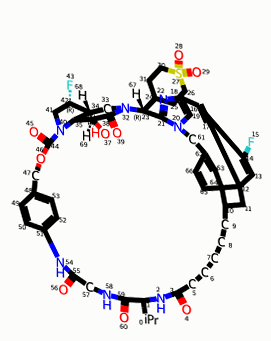 CC(C)C1NC(=O)CCCCCC2CC34C=C(F)C(=C3)c3cn(c(n3)[C@@H](C3CCS(=O)(=O)CC3)N3C[C@@H]5C([C@H](O)C3=O)N(C[C@@H]5F)C(=O)OCc3ccc(cc3)NC(=O)CNC1=O)CC1=CC24C=C1